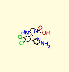 CC12CN(C(=O)CO)CCC1Nc1c(Cl)c(Cl)cc(-c3ccc(N)nc3)c12